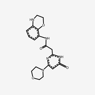 O=C(Cc1nc(N2CCOCC2)cc(=O)[nH]1)Nc1cccc2c1OCCN2